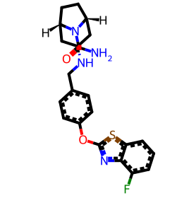 NC(=O)N1[C@@H]2CC[C@H]1C[C@@H](NCc1ccc(Oc3nc4c(F)cccc4s3)cc1)C2